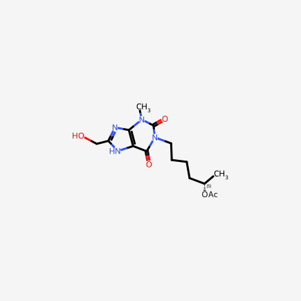 CC(=O)O[C@@H](C)CCCCn1c(=O)c2[nH]c(CO)nc2n(C)c1=O